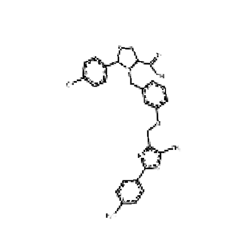 Cc1ccc(-c2nc(COc3cccc(CN4C(C(=O)O)CSC4c4ccc(Cl)cc4)c3)c(C)o2)cc1